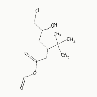 CC(C)(C)C(CC(=O)OC=O)CC(O)CCl